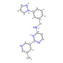 FC(F)(F)c1cncc(-c2nccc(NCc3cccc(-n4cccn4)c3)n2)c1